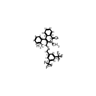 Cc1ccccc1-c1c(CSCc2cc(C(F)(F)F)cc(C(F)(F)F)c2)n(C)c(=O)c2ccccc12